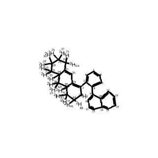 [2H]C1C(c2ccccc2-c2cccc3ccccc23)=C2C=C3C([2H])([2H])C([2H])([2H])C([2H])([2H])C([2H])([2H])C3([2H])C([2H])([2H])C2([2H])C([2H])([2H])C1([2H])[2H]